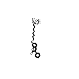 CCO[Si](CCCCCCCCOc1ccc2cc(-c3ccccc3)c(=O)oc2c1)(OCC)OCC